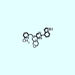 Cc1cccc(CN2CC3COCCN3c3nc(-c4cccc5[nH]ccc45)ncc32)n1